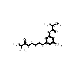 Cc1cc(CCCCCC(=O)C(C)C)cc(NC(=O)C(C)C)c1